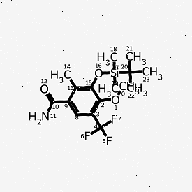 COc1c(C(F)(F)F)cc(C(N)=O)c(C)c1O[Si](C)(C)C(C)(C)C